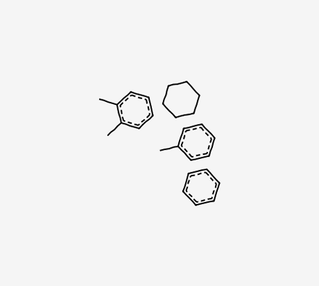 C1CCCCC1.Cc1ccccc1.Cc1ccccc1C.c1ccccc1